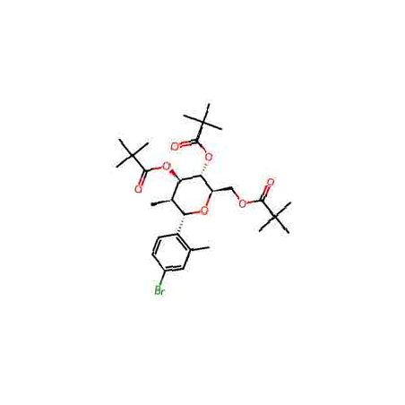 Cc1cc(Br)ccc1[C@H]1O[C@H](COC(=O)C(C)(C)C)[C@@H](OC(=O)C(C)(C)C)[C@H](OC(=O)C(C)(C)C)[C@@H]1C